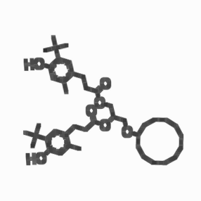 Cc1cc(O)c(C(C)(C)C)cc1CCC(=O)OCC(COC1CCCCCCCCCCC1)OC(=O)CCc1cc(C(C)(C)C)c(O)cc1C